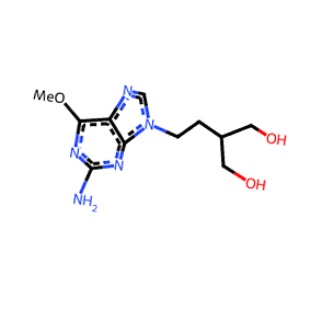 COc1nc(N)nc2c1ncn2CCC(CO)CO